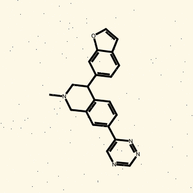 CN1Cc2cc(-c3cncnn3)ccc2C(c2ccc3ccoc3c2)C1